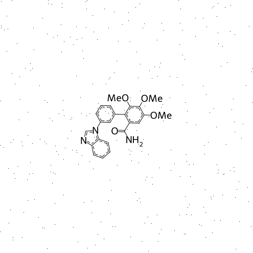 COc1cc(C(N)=O)c(-c2cccc(-n3cnc4ccccc43)c2)c(OC)c1OC